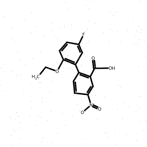 CCOc1ccc(F)cc1-c1ccc([N+](=O)[O-])cc1C(=O)O